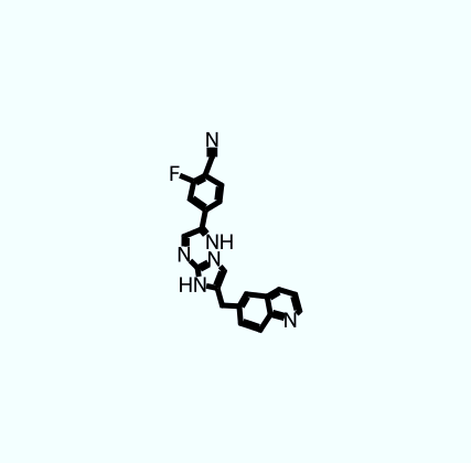 N#Cc1ccc(C(=N)/C=N\c2ncc(Cc3ccc4ncccc4c3)[nH]2)cc1F